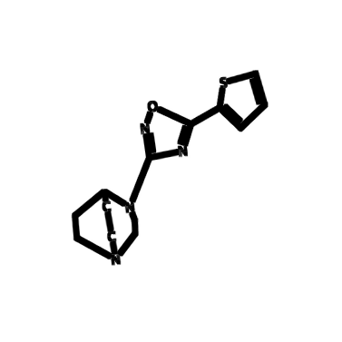 c1csc(-c2nc(N3CCN4CCC3CC4)no2)c1